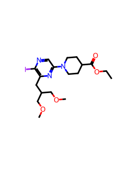 CCOC(=O)C1CCN(c2cnc(I)c(CC(COC)COC)n2)CC1